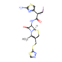 Nc1nc(/C(=C\I)C(=O)NC2C(=O)N3C(C(=O)O)=C(CSc4nncs4)CS[C@H]23)cs1